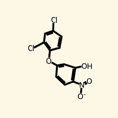 O=[N+]([O-])c1ccc(Oc2ccc(Cl)cc2Cl)cc1O